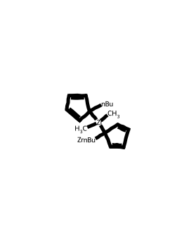 CCCC[C]1([Zr]([CH3])([CH3])[C]2(CCCC)C=CC=C2)C=CC=C1.[Zr]